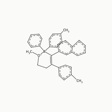 Cc1ccc(C2=C(c3ccc4ccccc4c3)[B-](c3ccccc3)(c3ccc(C)cc3)[O+](C)CC2)cc1